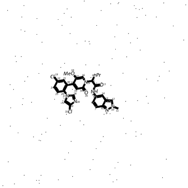 CCCC(C(=O)Nc1ccc2nn(C)cc2c1)n1cc(OC)c(-c2cc(Cl)ccc2-n2cnc(Cl)c2)cc1=O